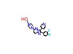 OCCN1CCN(c2ccc3nc(-c4ccc(F)c(F)c4)c(-c4ccncc4)n3n2)CC1